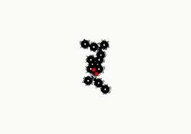 c1ccc(-c2ccc(N(c3ccccc3)c3ccc4cc5c(cc4c3)C3(c4ccccc4-c4ccccc43)c3c-5ccc4cc(N(c5ccccc5)c5ccc(-c6ccccc6)cc5)ccc34)cc2)cc1